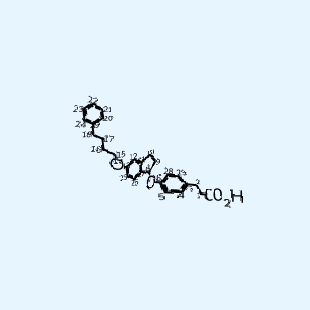 O=C(O)CCc1ccc(OC2CCc3cc(OCCCCc4ccccc4)ccc32)cc1